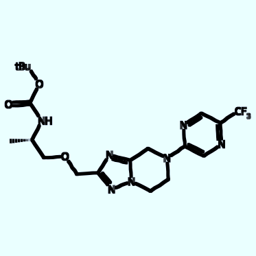 C[C@@H](COCc1nc2n(n1)CCN(c1cnc(C(F)(F)F)cn1)C2)NC(=O)OC(C)(C)C